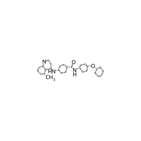 Cc1cccc2nccc(Nc3ccc(C(=O)Nc4ccc(Oc5ccccc5)cc4)cc3)c12